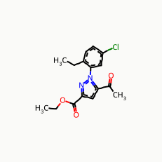 CCOC(=O)c1cc(C(C)=O)n(-c2cc(Cl)ccc2CC)n1